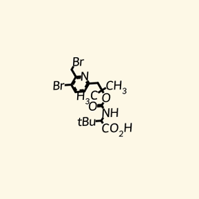 CC(C)(Cc1ccc(Br)c(CBr)n1)OC(=O)NC(C(=O)O)C(C)(C)C